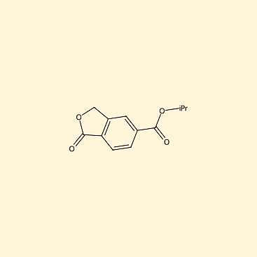 CC(C)OC(=O)c1ccc2c(c1)COC2=O